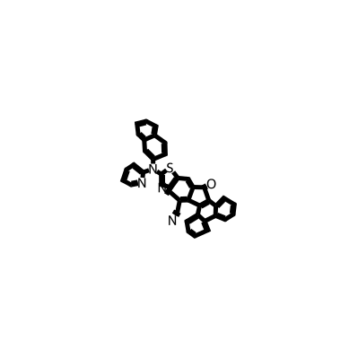 N#CC(C#N)=C1/C(=C\c2ccc(N(c3ccc4ccccc4c3)c3ccccn3)s2)C(=O)c2c1c1ccccc1c1ccccc21